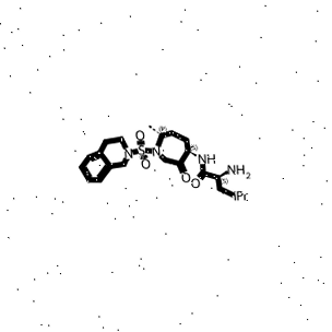 CC(C)C[C@H](N)C(=O)N[C@H]1CC[C@@H](C)N(S(=O)(=O)N2CCc3ccccc3C2)CC1=O